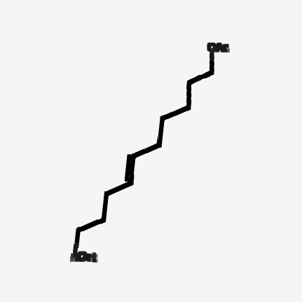 CCCCCCCCCCCC=CCCCCCOC(C)=O